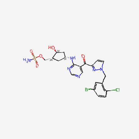 NS(=O)(=O)OC[C@H]1C[C@@H](Nc2ncncc2C(=O)c2ccn(Cc3cc(Br)ccc3Cl)n2)C[C@@H]1O